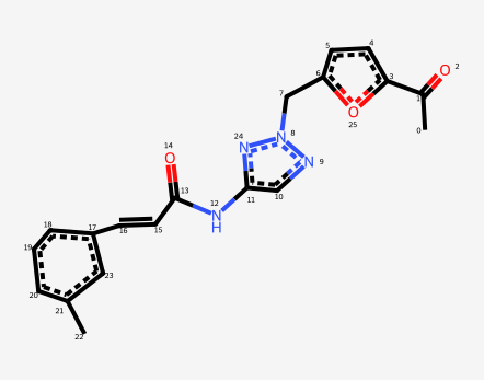 CC(=O)c1ccc(Cn2ncc(NC(=O)C=Cc3cccc(C)c3)n2)o1